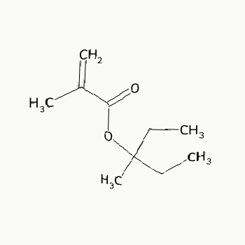 C=C(C)C(=O)OC(C)(CC)CC